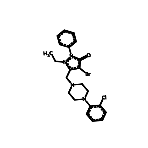 CCn1c(CN2CCN(c3ccccc3Cl)CC2)c(Br)c(=O)n1-c1ccccc1